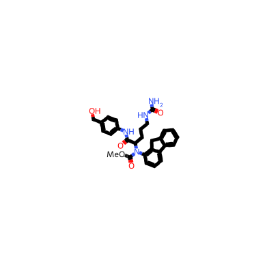 COC(=O)N(c1cccc2c1Cc1ccccc1-2)C(CCCNC(N)=O)C(=O)Nc1ccc(CO)cc1